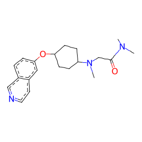 CN(C)C(=O)CN(C)C1CCC(Oc2ccc3cnccc3c2)CC1